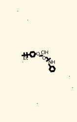 CCC(C)(C)C(C)(C)c1ccc(OCCOCC(C)(C)NCc2ccccc2)cc1.Cl